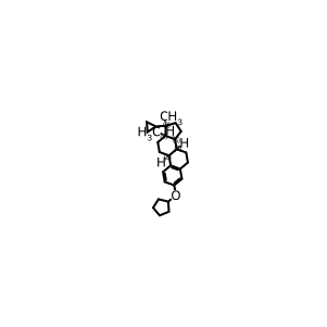 C[C@]12CC[C@@H]3c4ccc(OC5CCCC5)cc4CC[C@H]3[C@@H]1CC[C@]2(C)C1CC1